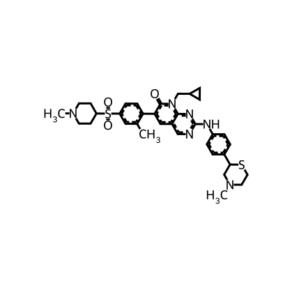 Cc1cc(S(=O)(=O)C2CCN(C)CC2)ccc1-c1cc2cnc(Nc3ccc(C4CN(C)CCS4)cc3)nc2n(CC2CC2)c1=O